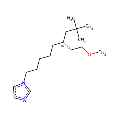 COCC[C@H](CCCCCn1ccnc1)CC(C)(C)C